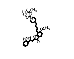 COc1ccc2c(c1C=CCCC1CCN(C(=O)OC(C)(C)C)CC1)OC(=Cc1n[nH]c3ccccc13)C2=O